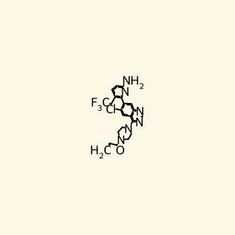 C=CC(=O)N1CCN(c2ncnc3cc(-c4nc(N)ccc4CC(F)(F)F)c(Cl)cc23)CC1